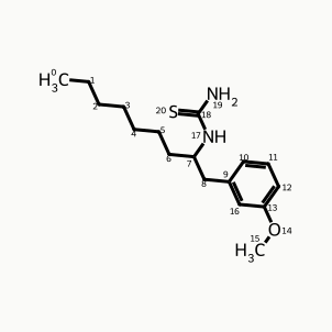 CCCCCCCC(Cc1cccc(OC)c1)NC(N)=S